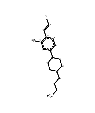 CCCCC1CCC(c2ccc(C=CF)c(F)c2)CC1